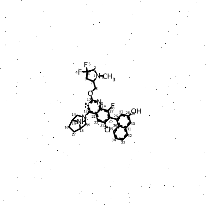 CN1CC(F)(F)CC1COc1nc(N2CC3CCC(C2)N3)c2cc(Cl)c(-c3cc(O)cc4ccccc34)c(F)c2n1